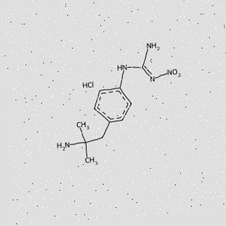 CC(C)(N)Cc1ccc(NC(N)=N[N+](=O)[O-])cc1.Cl